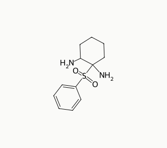 NC1CCCCC1(N)S(=O)(=O)c1ccccc1